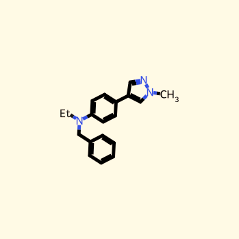 CCN(Cc1ccccc1)c1ccc(-c2cnn(C)c2)cc1